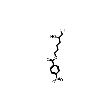 O=C(OCCCC[C@@H](O)CO)c1ccc([N+](=O)[O-])cc1